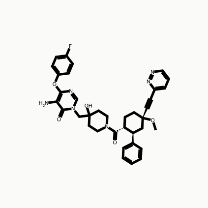 CO[C@@]1(C#Cc2cccnn2)CC[C@@H](C(=O)N2CCC(O)(Cn3cnc(Oc4ccc(F)cc4)c(N)c3=O)CC2)[C@H](c2ccccc2)C1